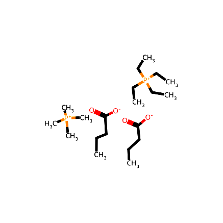 CCCC(=O)[O-].CCCC(=O)[O-].CC[P+](CC)(CC)CC.C[P+](C)(C)C